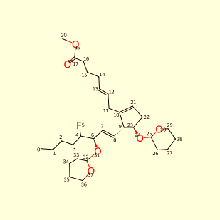 CCCCC(F)[C@@H](C=C[C@@H]1C(CC=CCCCC(=O)OC)=CC[C@H]1OC1CCCCO1)OC1CCCCO1